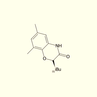 CC[C@H](C)C1Oc2c(C)cc(C)cc2NC1=O